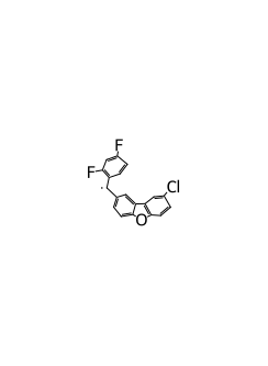 Fc1ccc([CH]c2ccc3oc4ccc(Cl)cc4c3c2)c(F)c1